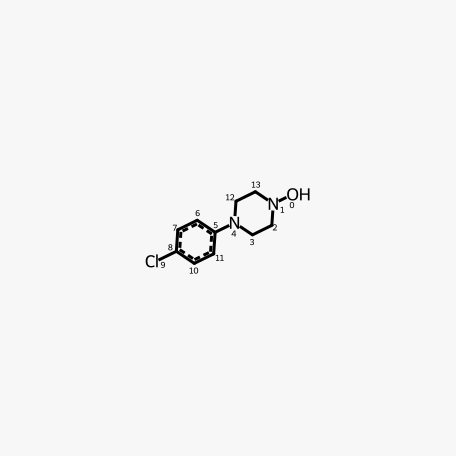 ON1CCN(c2ccc(Cl)cc2)CC1